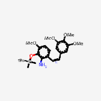 COc1cc(/C=C\c2ccc(OC)c(O[Si](C)(C)C(C)(C)C)c2N)cc(OC)c1OC